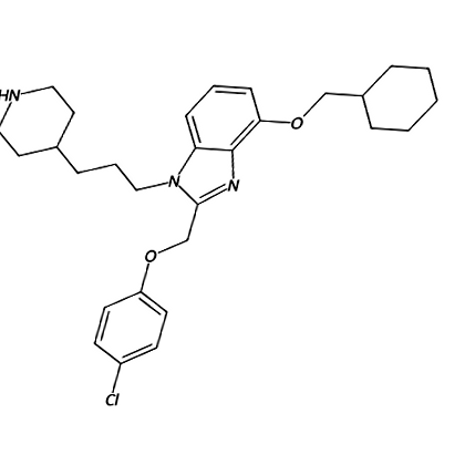 Clc1ccc(OCc2nc3c(OCC4CCCCC4)cccc3n2CCCC2CCNCC2)cc1